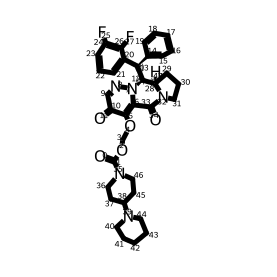 O=C(OCOc1c2n(ncc1=O)[C@@H]([C@H](c1ccccc1)c1cccc(F)c1F)[C@H]1CCCN1C2=O)N1CCC(N2CCCCC2)CC1